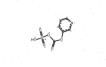 O=C(Oc1cccnc1)OS(=O)(=O)O